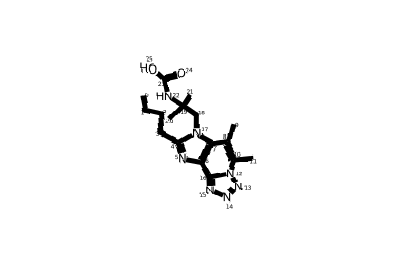 CCCCc1nc2c(c(C)c(C)n3nnnc23)n1CC(C)(C)NC(=O)O